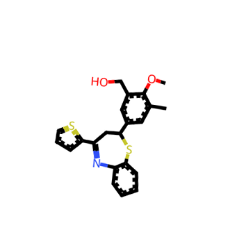 COc1c(C)cc(C2CC(c3cccs3)=Nc3ccccc3S2)cc1CO